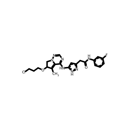 CC1=C2C(Nc3cc(CC(=O)Nc4cccc(F)c4)n[nH]3)=NC=NN2CC1OCCCCl